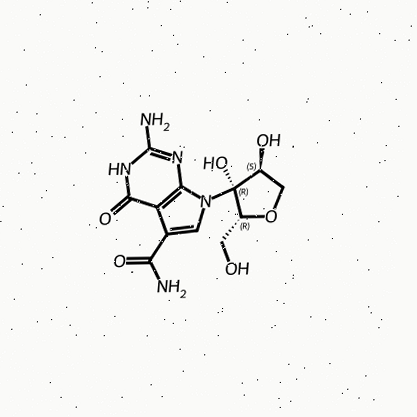 NC(=O)c1cn([C@@]2(O)[C@@H](O)CO[C@@H]2CO)c2nc(N)[nH]c(=O)c12